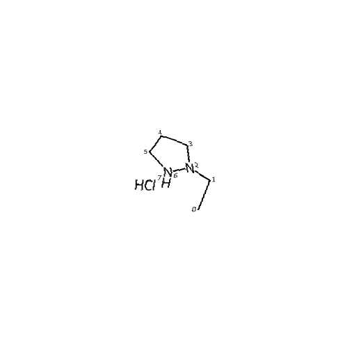 CCN1CCCN1.Cl